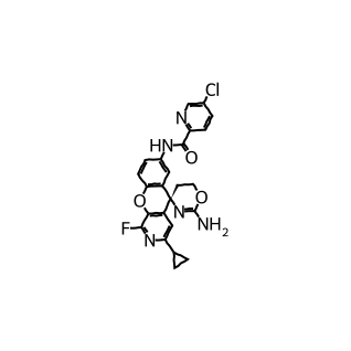 NC1=N[C@@]2(CCO1)c1cc(NC(=O)c3ccc(Cl)cn3)ccc1Oc1c2cc(C2CC2)nc1F